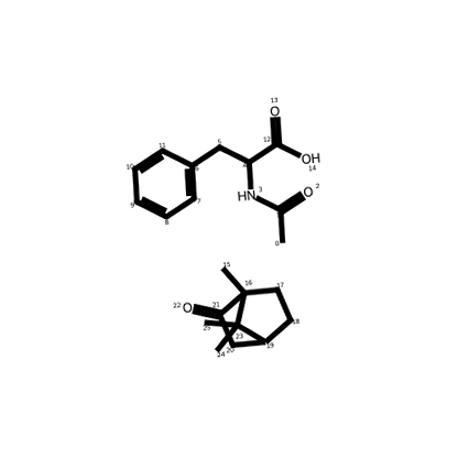 CC(=O)NC(Cc1ccccc1)C(=O)O.CC12CCC(CC1=O)C2(C)C